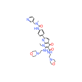 CCn1c(NCCN2CCOCC2)c(C(=O)NCCN2CCOCC2)c(=O)c2ccc(-c3ccc(NC(=O)N(C)Cc4cccnc4)cc3)nc21